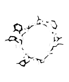 CC[C@H](C)[C@@H]1NC(=O)[C@H](CC(C)C)N(C)C(=O)C[C@@H](C(=O)N2CCCCC2)N(C)C(=O)[C@H](CC(C)C)NC(=O)C(C)(C)N(C)C(=O)[C@H](Cc2ccccc2Cl)NC(=O)[C@H](Cc2cccc(I)c2)NC(=O)CN(C)C(=O)[C@H](Cc2ccc(C)cc2)N(C)C(=O)[C@@H]2CCN2C(=O)CN(C)C1=O